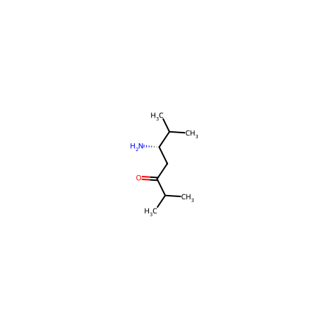 CC(C)C(=O)C[C@H](N)C(C)C